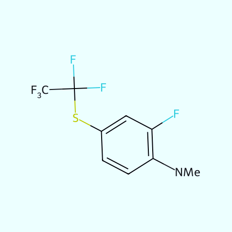 CNc1ccc(SC(F)(F)C(F)(F)F)cc1F